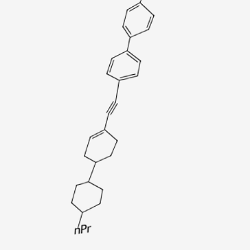 CCCCCCc1ccc(-c2ccc(C#CC3=CCC(C4CCC(CCC)CC4)CC3)cc2)cc1